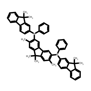 Cc1cc2c(cc1N(c1ccccc1)c1ccc3c(c1)C(C)(C)c1ccccc1-3)-c1cc(N(c3ccccc3)c3ccc4c(c3)C(C)(C)c3ccccc3-4)c(C)cc1C2(C)C